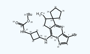 CC1Cc2c(nc3c(Br)cnn3c2NC2CC(NC(=O)OC(C)(C)C)C2)C12CCCC2